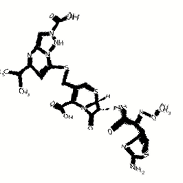 CON=C(C(=O)N[C@@H]1C(=O)N2C(C(=O)O)=C(CSC3=CC(C(C)C)=NC4=CN(C(=O)O)NN43)CS[C@H]12)c1csc(N)n1